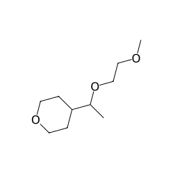 COCCOC(C)C1CCOCC1